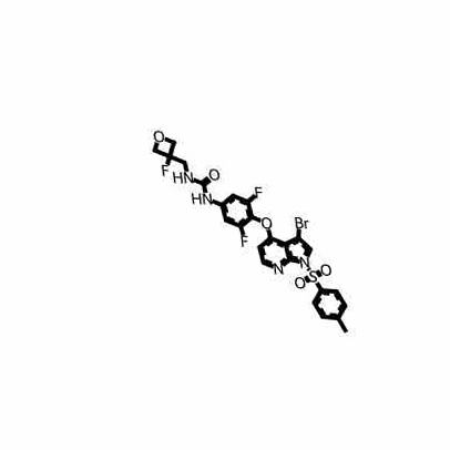 Cc1ccc(S(=O)(=O)n2cc(Br)c3c(Oc4c(F)cc(NC(=O)NCC5(F)COC5)cc4F)ccnc32)cc1